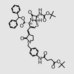 CC(C)(C)OC(=O)CCC(=O)Nc1ccc(CN2CCC(=CC3=CS[C@@H]4[C@H](NC(=O)OC(C)(C)C)C(=O)N4[C@H]3C(=O)OC(c3ccccc3)c3ccccc3)C2=O)cc1